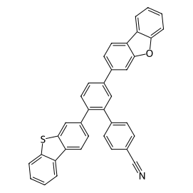 N#Cc1ccc(-c2cc(-c3ccc4c(c3)oc3ccccc34)ccc2-c2ccc3c(c2)sc2ccccc23)cc1